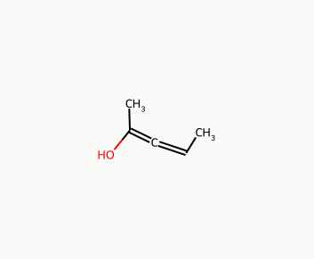 CC=C=C(C)O